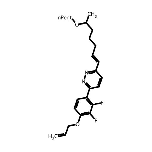 C=CCOc1ccc(-c2ccc(/C=C/CCCC(C)OCCCCC)nn2)c(F)c1F